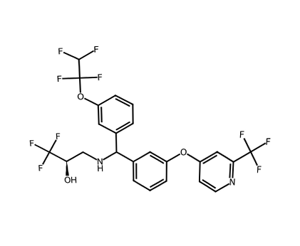 O[C@H](CNC(c1cccc(Oc2ccnc(C(F)(F)F)c2)c1)c1cccc(OC(F)(F)C(F)F)c1)C(F)(F)F